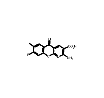 Cc1cc2c(=O)c3cc(C(=O)O)c(N)nc3oc2cc1F